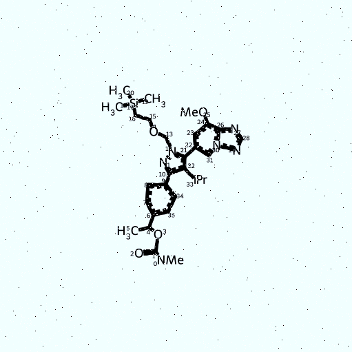 CNC(=O)OC(C)c1ccc(-c2nn(COCC[Si](C)(C)C)c(-c3cc(OC)c4ncnn4c3)c2C(C)C)cc1